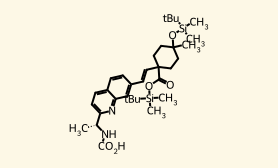 C[C@@H](NC(=O)O)c1ccc2ccc(/C=C/C3(C(=O)O[Si](C)(C)C(C)(C)C)CCC(C)(O[Si](C)(C)C(C)(C)C)CC3)cc2n1